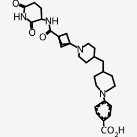 O=C1CCC(NC(=O)C23CC(N4CCC(CC5CCN(c6ccc(C(=O)O)cc6)CC5)CC4)(C2)C3)C(=O)N1